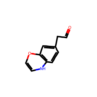 O=CCc1ccc2c(c1)OC=CN2